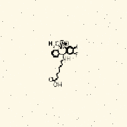 CN1c2ccccc2C(NCCCCCCC(=O)O)c2cc(F)c(I)cc2S1(=O)=O